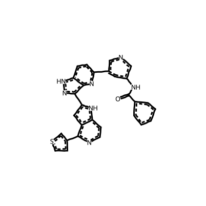 O=C(Nc1cncc(-c2ccc3[nH]nc(-c4cc5c(-c6ccsc6)nccc5[nH]4)c3n2)c1)c1ccccc1